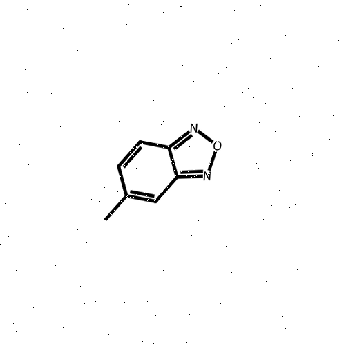 Cc1ccc2nonc2c1